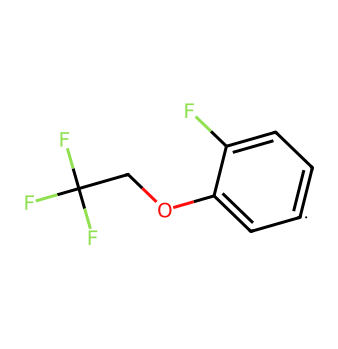 Fc1cc[c]cc1OCC(F)(F)F